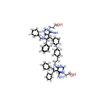 N=c1c2c(-c3ccccc3)c(-c3ccccc3)n(CCc3ccc(-c4cccc(-c5c(-c6ccccc6)n(Cc6ccccc6)c6ncn(CCCO)c(=N)c56)c4)cc3)c2ncn1CCO